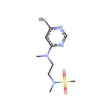 CN(CCN(C)S(C)(=O)=O)c1cc(C(C)(C)C)ncn1